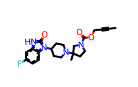 CC#CCOC(=O)N1CCC(C)(N2CCC(n3c(=O)[nH]c4cc(F)ccc43)CC2)C1